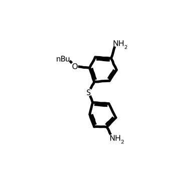 CCCCOc1cc(N)ccc1Sc1ccc(N)cc1